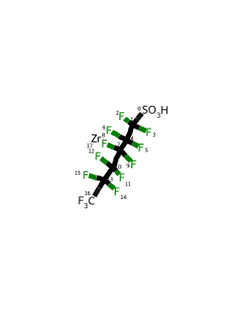 O=S(=O)(O)C(F)(F)C(F)(F)C(F)(F)C(F)(F)C(F)(F)C(F)(F)F.[Zr]